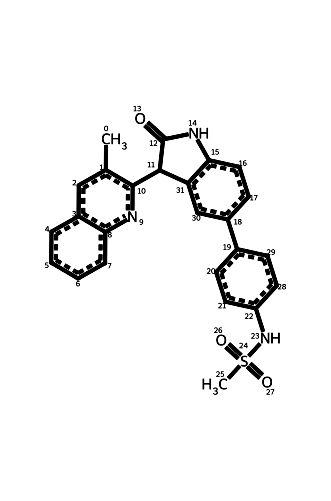 Cc1cc2ccccc2nc1C1C(=O)Nc2ccc(-c3ccc(NS(C)(=O)=O)cc3)cc21